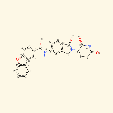 O=C1CCC(N2Cc3cc(NC(=O)c4ccc5oc6ccccc6c5c4)ccc3C2=O)C(=O)N1